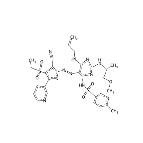 C=CCNc1nc(NC(C)COC)nc(NS(=O)(=O)c2ccc(C)cc2)c1N=Nc1nn(-c2cccnc2)c(S(=O)(=O)CC)c1C#N